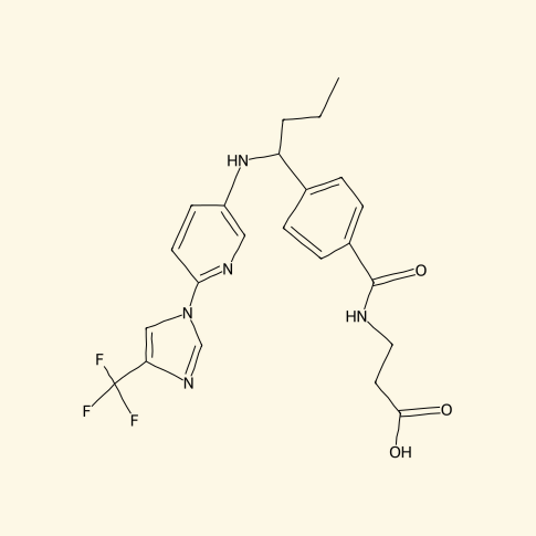 CCCC(Nc1ccc(-n2cnc(C(F)(F)F)c2)nc1)c1ccc(C(=O)NCCC(=O)O)cc1